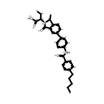 CCCCCc1ccc(C(=O)Nc2ccc(-c3ccc4c(c3)C(=O)N(C(CC)C(=O)O)C4C)cc2)cc1